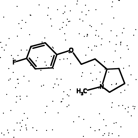 CN1CCCC1CCOc1ccc(F)cc1